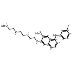 COCCOCCOCCOc1cc2ncnc(Nc3cccc(F)c3)c2cc1OC